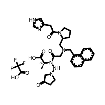 C[C@@H](C(=O)O)N(NN1CCC(=O)C1)C(=O)CN(Cc1cccc2ccccc12)CC1CCCN1C(=O)Cc1c[nH]cn1.O=C(O)C(F)(F)F